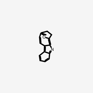 C1=CC2=c3ccccc3=N/C2=C2\CCC1=CO2